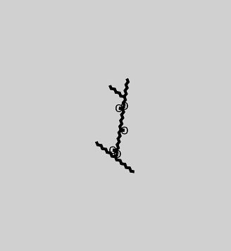 CCCCCCCCC(CCCCCCCC)OC(=O)CCCCCCC(=O)CCCCCCC(=O)OCCC(CCCCCC)CCCCCC